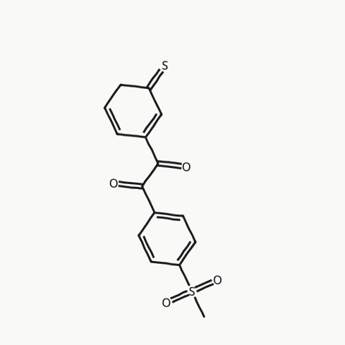 CS(=O)(=O)c1ccc(C(=O)C(=O)C2=CC(=S)CC=C2)cc1